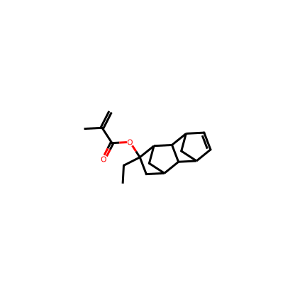 C=C(C)C(=O)OC1(CC)CC2CC1C1C3C=CC(C3)C21